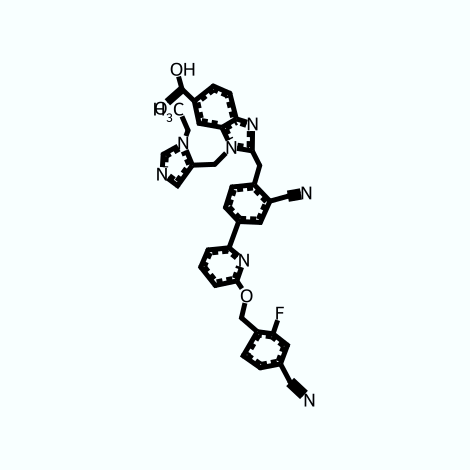 CCn1cncc1Cn1c(Cc2ccc(-c3cccc(OCc4ccc(C#N)cc4F)n3)cc2C#N)nc2ccc(C(=O)O)cc21